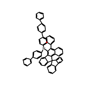 c1ccc(-c2ccc(-c3ccc(N(c4ccc(-c5ccccc5)cc4)c4c5c(c6ccccc6c4-c4ccccc4)C4(c6ccccc6-c6ccccc64)c4ccccc4-5)cc3)cc2)cc1